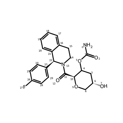 NC(=O)OC1C[C@H](O)CO[C@H]1C(=O)N1CCc2ccccc2[C@@H]1c1ccc(F)cc1